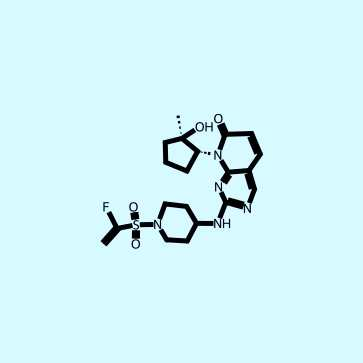 C=C(F)S(=O)(=O)N1CCC(Nc2ncc3ccc(=O)n([C@@H]4CCC[C@@]4(C)O)c3n2)CC1